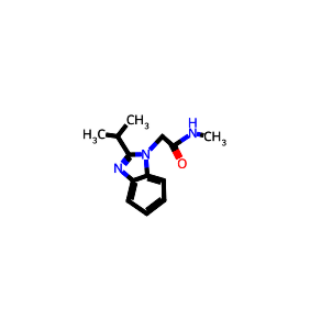 CNC(=O)Cn1c(C(C)C)nc2ccccc21